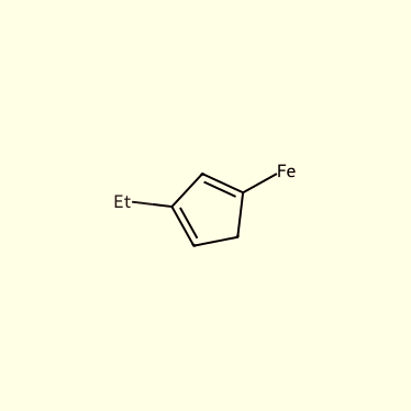 CCC1=CC[C]([Fe])=C1